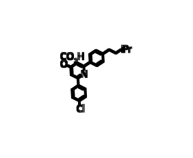 CC(C)CCc1ccc(-c2cc(OC(=O)O)cc(-c3ccc(Cl)cc3)n2)cc1